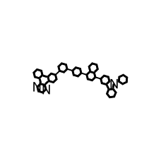 c1ccc(-n2c3ccccc3c3cc(-c4ccc(-c5ccc(-c6cccc(-c7ccc8c(c7)c7ccccc7c7nccnc87)c6)cc5)c5ccccc45)ccc32)cc1